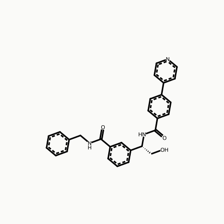 O=C(NCc1ccccc1)c1cccc([C@@H](CO)NC(=O)c2ccc(-c3ccncc3)cc2)c1